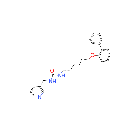 O=C(NCCCCCCOc1ccccc1-c1ccccc1)NCc1cccnc1